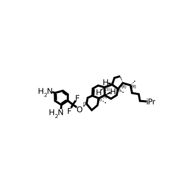 CC(C)CCC[C@@H](C)[C@H]1CC[C@H]2[C@@H]3CC=C4C[C@@H](OC(F)(F)c5ccc(N)cc5N)CC[C@]4(C)[C@H]3CC[C@]12C